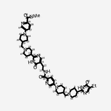 CCc1cnc(C2CCN(CC3CCN(c4ccc(C(=O)NCCc5cnc(C6CCN(CC7CCN(c8ccc(C(=O)NC)nc8)CC7)CC6)[nH]c5=O)nc4)CC3)CC2)[nH]c1=O